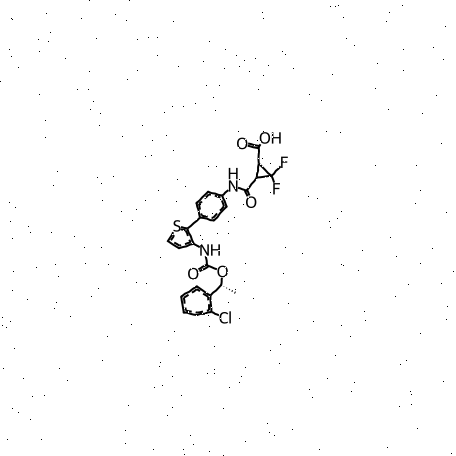 C[C@@H](OC(=O)Nc1ccsc1-c1ccc(NC(=O)C2C(C(=O)O)C2(F)F)cc1)c1ccccc1Cl